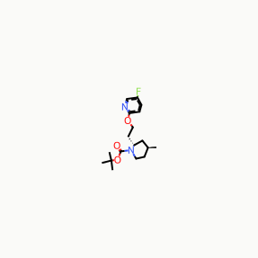 C[C@H]1CCN(C(=O)OC(C)(C)C)[C@H](CCOc2ccc(F)cn2)C1